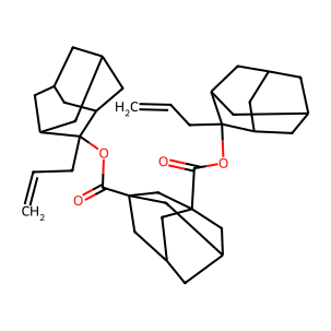 C=CCC1(OC(=O)C23CC4CC(C2)CC(C(=O)OC2(CC=C)C5CC6CC(C5)CC2C6)(C4)C3)C2CC3CC(C2)CC1C3